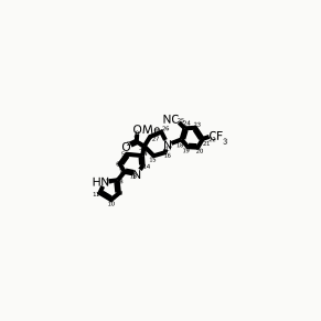 COC(=O)C1(c2ccc(-c3ccc[nH]3)nc2)CCN(c2ccc(C(F)(F)F)cc2C#N)CC1